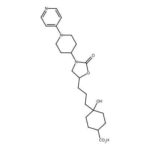 O=C(O)C1CCC(O)(CCCC2CN(C3CCN(c4ccncc4)CC3)C(=O)O2)CC1